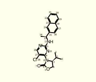 CC(C)[C@H]1COC(=O)N1c1nc(N[C@@H](C)c2ccc3ccccc3c2)ncc1Cl